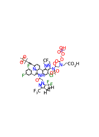 CC(C)(C#Cc1ccc(-c2ccc(Cl)c3c(N(C(=O)CN(CCC(=O)O)C(=O)OCOP(C)(=O)O)S(C)(=O)=O)nn(CC(F)(F)F)c23)c([C@H](Cc2cc(F)cc(F)c2)NC(=O)Cn2nc(C(F)(F)F)c3c2C(F)(F)[C@@H]2C[C@H]32)n1)S(C)(=O)=O